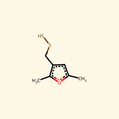 Cc1cc(CSS)c(C)o1